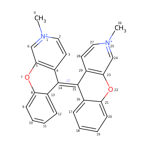 C[n+]1ccc2c(c1)Oc1ccccc1/C2=C1\c2ccccc2Oc2c[n+](C)ccc21